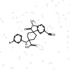 C#Cc1ccc2c(c1)C1(CCC(Nc3cccc(Br)c3)(C(=O)O)CC1)C(=O)N2C